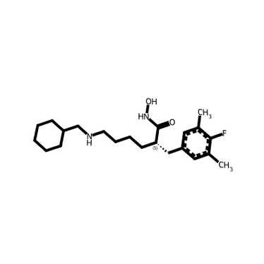 Cc1cc(C[C@H](CCCCNCC2CCCCC2)C(=O)NO)cc(C)c1F